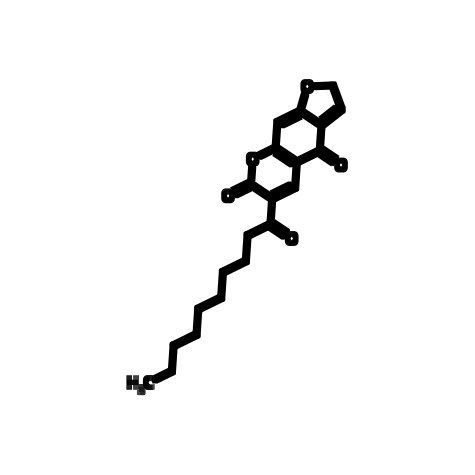 CCCCCCCCCC(=O)c1cc2c(oc1=O)C=C1OCC=C1C2=O